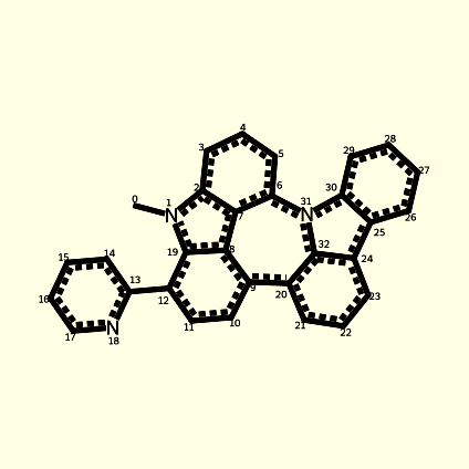 Cn1c2cccc3c2c2c(ccc(-c4ccccn4)c21)c1cccc2c4ccccc4n3c12